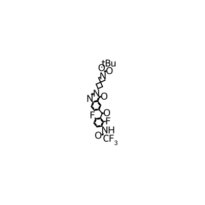 CC(C)(C)OC(=O)N1CC2(CC(n3cnc4ccc(C(=O)c5c(F)ccc(NC(=O)C(F)(F)F)c5F)cc4c3=O)C2)C1